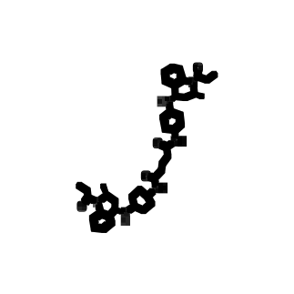 CCC(=O)N1c2ccccc2[C@H](Nc2ccc(NC(=O)CCCC(=O)NC3CCC(N[C@@H]4C[C@H](C)N(C(=O)CC)c5ccccc54)CC3)cc2)C[C@@H]1C